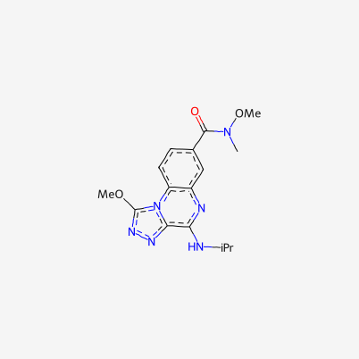 COc1nnc2c(NC(C)C)nc3cc(C(=O)N(C)OC)ccc3n12